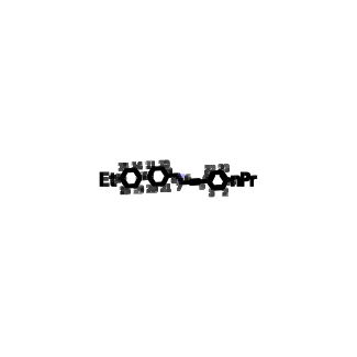 CCCc1ccc(C#C/C=C/C2CCC([C@H]3CC[C@H](CC)CC3)CC2)cc1